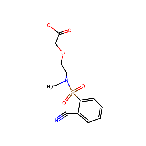 CN(CCOCC(=O)O)S(=O)(=O)c1ccccc1C#N